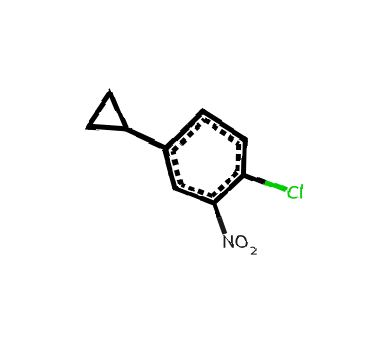 O=[N+]([O-])c1cc([C]2CC2)ccc1Cl